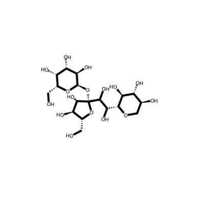 OC[C@H]1O[C@H](O[C@]2(C(O)C(O)[C@H]3OC[C@H](O)[C@@H](O)[C@@H]3O)O[C@H](CO)[C@@H](O)[C@@H]2O)[C@H](O)[C@@H](O)[C@H]1O